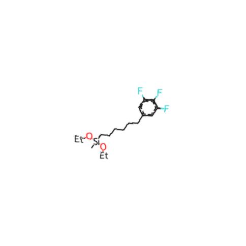 CCO[Si](C)(CCCCCCc1cc(F)c(F)c(F)c1)OCC